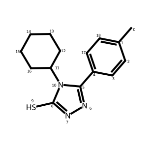 Cc1ccc(-c2nnc(S)n2C2CCCCC2)cc1